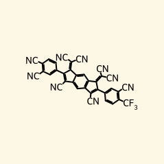 N#CC(C#N)=C1C(c2ccc(C#N)c(C#N)c2)=C(C#N)c2cc3c(cc21)C(=C(C#N)C#N)C(c1ccc(C(F)(F)F)c(C#N)c1)=C3C#N